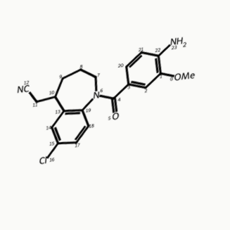 COc1cc(C(=O)N2CCCC(CC#N)c3cc(Cl)ccc32)ccc1N